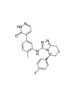 Cc1ccc(-c2ccn[nH]c2=O)cc1Nc1nnc2n1[C@H](c1ccc(F)cc1)CSC2